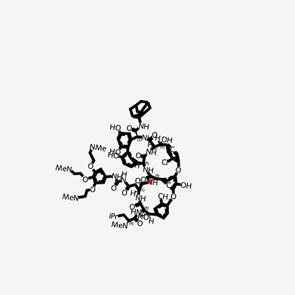 CNCCOc1cc(NC(=O)NC(=O)C[C@@H]2NC(=O)[C@H](NC(=O)[C@@H](CC(C)C)NC)[C@H](O)c3ccc(c(C)c3)Oc3cc4cc(c3O)Oc3ccc(cc3Cl)[C@@H](O)[C@@H]3NC(=O)[C@H](NC(=O)[C@@H]4NC2=O)c2ccc(O)c(c2)-c2c(O)cc(O)cc2[C@@H](C(=O)NC2C4CC5CC(C4)CC2C5)NC3=O)cc(OCCNC)c1OCCNC